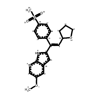 COc1cnc2[nH]c(/C(=C/C3CCCO3)c3ccc(S(C)(=O)=O)cc3)cc2c1